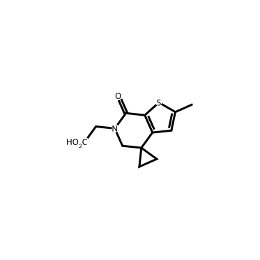 Cc1cc2c(s1)C(=O)N(CC(=O)O)CC21CC1